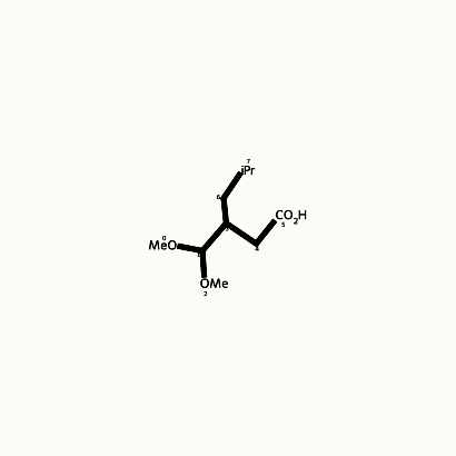 COC(OC)C(CC(=O)O)CC(C)C